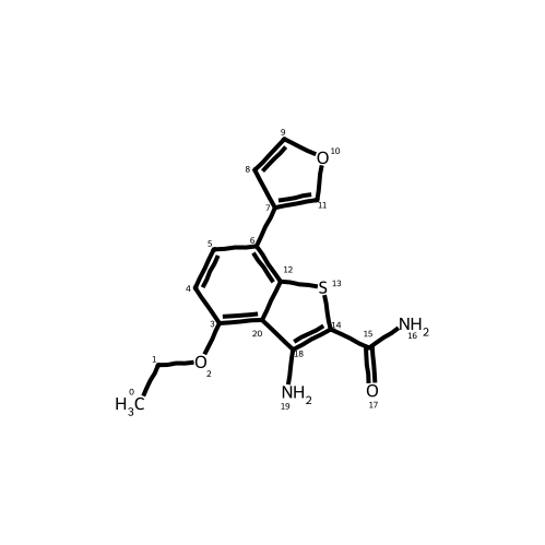 CCOc1ccc(-c2ccoc2)c2sc(C(N)=O)c(N)c12